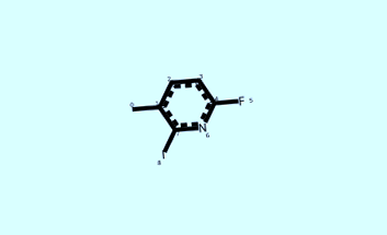 Cc1ccc(F)nc1I